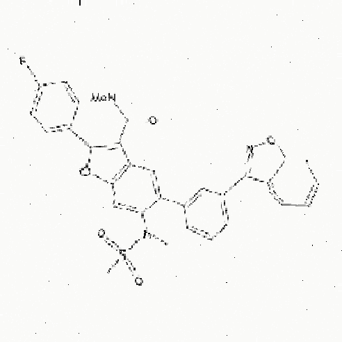 CNC(=O)c1c(-c2ccc(F)cc2)oc2cc(N(C)S(C)(=O)=O)c(-c3cccc(-c4noc5ccccc45)c3)cc12